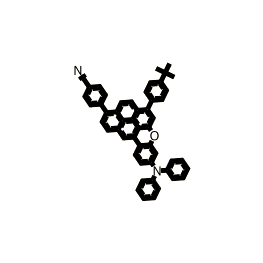 CC(C)(C)c1ccc(-c2cc3c4c(cc5ccc(-c6ccc(C#N)cc6)c6ccc2c4c56)-c2ccc(N(c4ccccc4)c4ccccc4)cc2O3)cc1